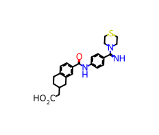 N=C(c1ccc(NC(=O)c2ccc3c(c2)CC(CC(=O)O)CC3)cc1)N1CCSCC1